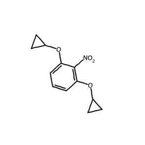 O=[N+]([O-])c1c(OC2CC2)cccc1OC1CC1